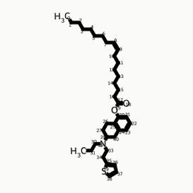 CCCCCCCC/C=C\CCCCCCCC(=O)Oc1cccc2c1CCC(N(CCC)CCc1cccs1)C2